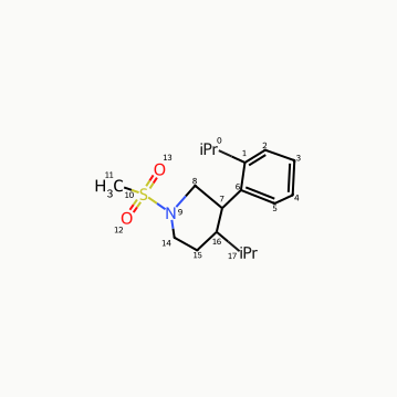 CC(C)c1ccccc1C1CN(S(C)(=O)=O)CCC1C(C)C